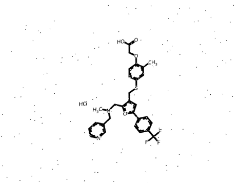 Cc1cc(SCc2cc(-c3ccc(C(F)(F)F)cc3)oc2CN(C)Cc2cccnc2)ccc1OCC(=O)O.Cl